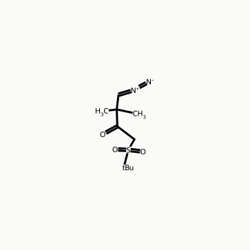 CC(C)(C=[N+]=[N-])C(=O)CS(=O)(=O)C(C)(C)C